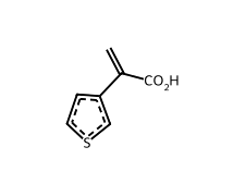 C=C(C(=O)O)c1ccsc1